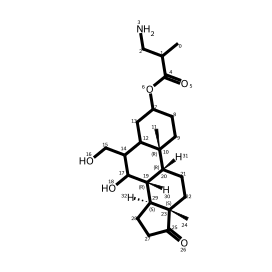 CC(CN)C(=O)OC1CC[C@@]2(C)C(C1)C(CO)C(O)[C@@H]1[C@H]2CC[C@]2(C)C(=O)CC[C@@H]12